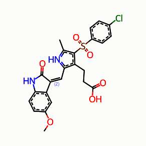 COc1ccc2c(c1)/C(=C/c1[nH]c(C)c(S(=O)(=O)c3ccc(Cl)cc3)c1CCC(=O)O)C(=O)N2